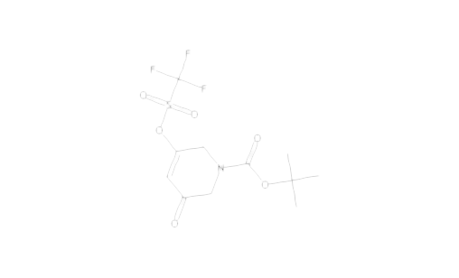 CC(C)(C)OC(=O)N1CC(=O)C=C(OS(=O)(=O)C(F)(F)F)C1